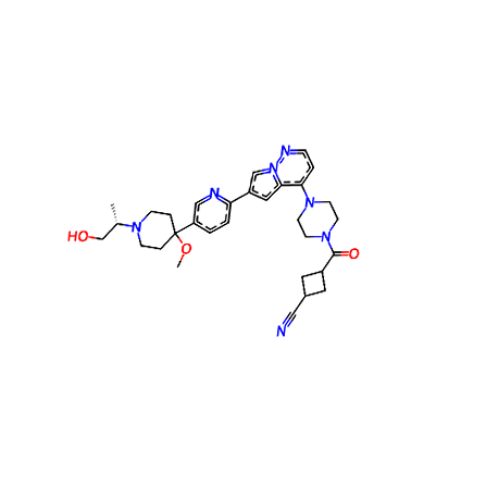 COC1(c2ccc(-c3cc4c(N5CCN(C(=O)C6CC(C#N)C6)CC5)ccnn4c3)nc2)CCN([C@@H](C)CO)CC1